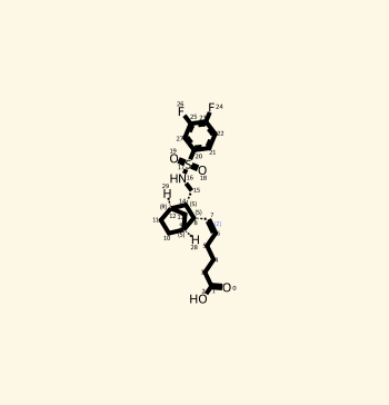 O=C(O)CCC/C=C\[C@@H]1[C@H]2CC[C@H](C2)[C@@H]1CNS(=O)(=O)c1ccc(F)c(F)c1